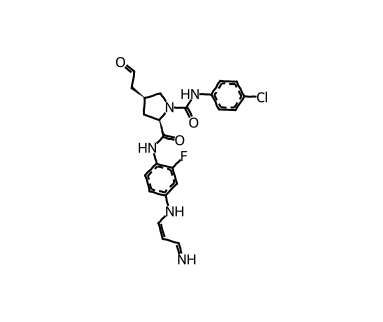 N=C/C=C\Nc1ccc(NC(=O)[C@H]2C[C@@H](CC=O)CN2C(=O)Nc2ccc(Cl)cc2)c(F)c1